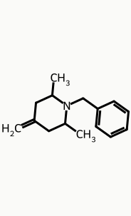 C=C1CC(C)N(Cc2ccccc2)C(C)C1